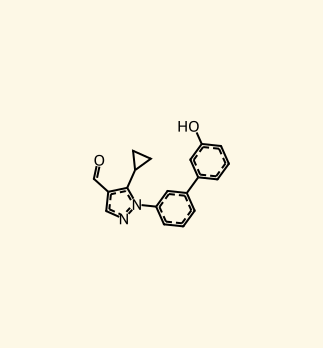 O=Cc1cnn(-c2cccc(-c3cccc(O)c3)c2)c1C1CC1